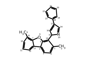 Cc1ccc2c(oc3c(C)cccc32)c1C1C=C(c2ccccc2)C=N1